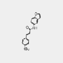 CC(C)(C)c1ccc(/C=C/C(=O)Nc2ccc3occc3c2)cc1